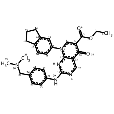 CCOC(=O)c1cn(-c2ccc3c(c2)CCC3)c2nc(Nc3ccc(CN(C)C)cc3)ncc2c1=O